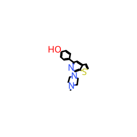 CN1CCN(c2nc(-c3ccc(O)cc3)cc3ccsc23)CC1